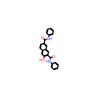 O=C(Nc1ccccc1)c1ccc2cc(O)c(C(=O)Nc3ccccc3)cc2c1